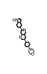 c1cc2cc(-c3cc4ncc(-c5ccc(N6CCOCC6)cc5)cc4cn3)ccc2[nH]1